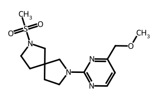 COCc1ccnc(N2CCC3(CCN(S(C)(=O)=O)C3)C2)n1